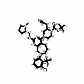 CN1CCC[C@H]1COc1nc2c(c(N3CCN(C(=O)OC(C)(C)C)C(CC#N)C3)n1)CCCN(c1cccc(Cl)c1C(F)(F)F)C2